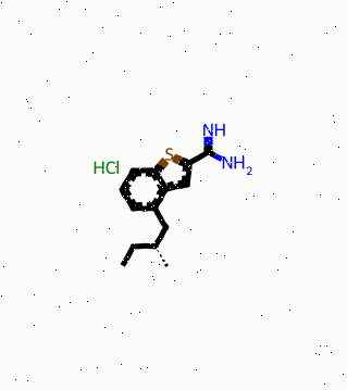 CC[C@@H](C)Cc1cccc2sc(C(=N)N)cc12.Cl